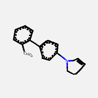 O=Cc1ccccc1-c1ccc(N2C=CCC2)cc1